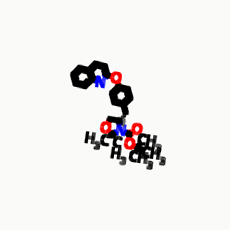 CC(C)(C)OC(=O)N1[C@@H](Cc2ccc(Oc3ccc4ccccc4n3)cc2)COC1(C)C